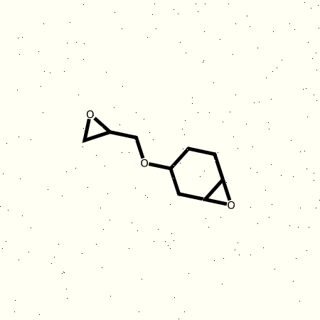 C1CC2OC2CC1OCC1CO1